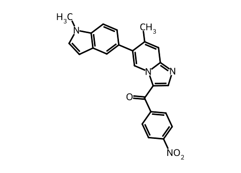 Cc1cc2ncc(C(=O)c3ccc([N+](=O)[O-])cc3)n2cc1-c1ccc2c(ccn2C)c1